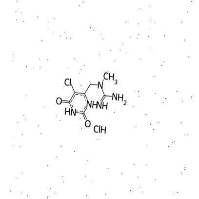 CN(Cc1[nH]c(=O)[nH]c(=O)c1Cl)C(=N)N.Cl